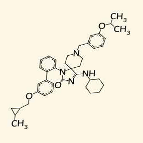 CC(C)Oc1cccc(CN2CCC3(CC2)C(NC2CCCCC2)=NC(=O)N3c2ccccc2-c2cccc(OCC3CC3C)c2)c1